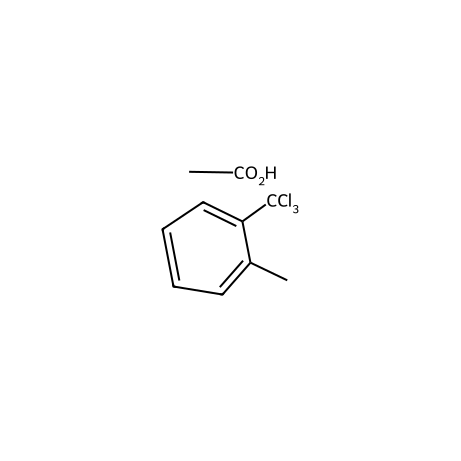 CC(=O)O.Cc1ccccc1C(Cl)(Cl)Cl